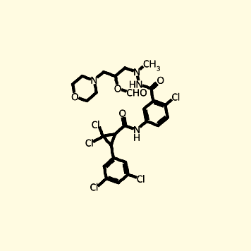 CN(CC(CN1CCOCC1)OC=O)NC(=O)c1cc(NC(=O)C2C(c3cc(Cl)cc(Cl)c3)C2(Cl)Cl)ccc1Cl